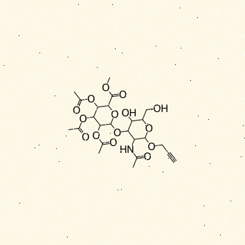 C#CCOC1OC(CO)C(O)C(OC2OC(C(=O)OC)C(OC(C)=O)C(OC(C)=O)C2OC(C)=O)C1NC(C)=O